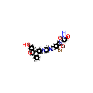 CN(Cc1cc(Br)c2c(c1)CN(C1CCC(=O)NC1=O)C2=O)C1CCN(c2ccc([C@@H]3c4ccc(O)cc4OC[C@@H]3c3ccccc3)cc2)CC1